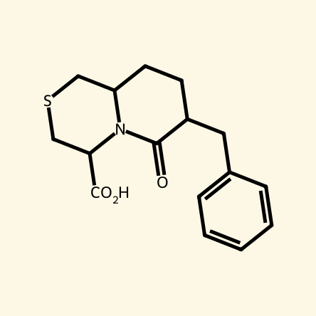 O=C(O)C1CSCC2CCC(Cc3ccccc3)C(=O)N21